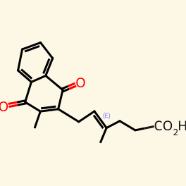 CC1=C(C/C=C(\C)CCC(=O)O)C(=O)c2ccccc2C1=O